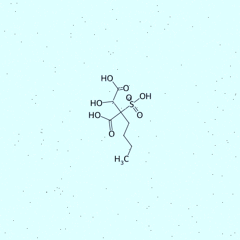 CCCCC([C](O)C(=O)O)(C(=O)O)S(=O)(=O)O